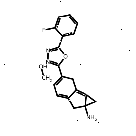 CO.NC12CC3=CC=C(c4nnc(-c5ccccc5F)o4)CC3=C1C2